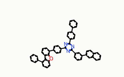 c1ccc(-c2ccc(-c3nc(-c4ccc(-c5cccc6c5oc5cccc(-c7ccccc7)c56)cc4)nc(-c4cccc(-c5ccc6ccccc6c5)c4)n3)cc2)cc1